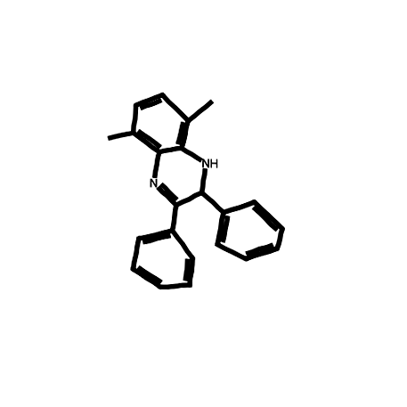 Cc1ccc(C)c2c1N=C(c1ccccc1)C(c1ccccc1)N2